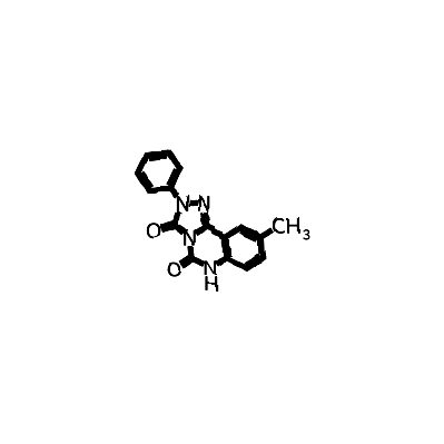 Cc1ccc2[nH]c(=O)n3c(=O)n(-c4ccccc4)nc3c2c1